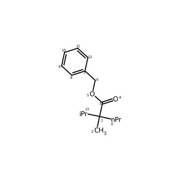 CCCC(C)(C(=O)OCc1ccccc1)C(C)C